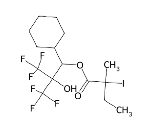 CCC(C)(I)C(=O)OC(C1CCCCC1)C(O)(C(F)(F)F)C(F)(F)F